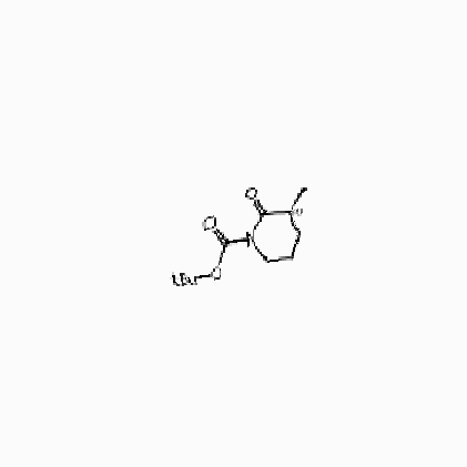 C[C@H]1CCCN(C(=O)OC(C)(C)C)C1=O